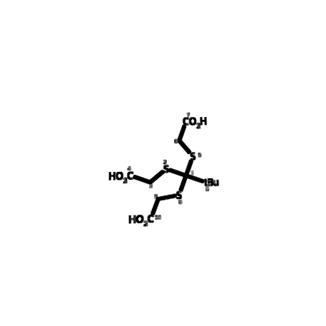 CC(C)(C)C(SCC(=O)O)(SCC(=O)O)SCC(=O)O